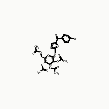 CC(=O)OC[C@H]1O[C@@H](Nc2ncc(C(=O)c3ccc(Br)cc3)s2)[C@@H](OC(C)=O)[C@@H](OC(C)=O)[C@@H]1OC(C)=O